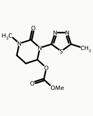 COC(=O)OC1CCN(C)C(=O)N1c1nnc(C)s1